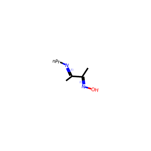 CCC/N=C(C)/C(C)=N/O